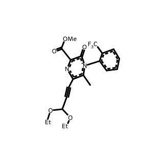 CCOC(C#Cc1nc(C(=O)OC)c(=O)n(-c2ccccc2C(F)(F)F)c1C)OCC